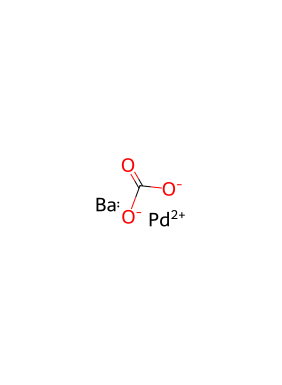 O=C([O-])[O-].[Ba].[Pd+2]